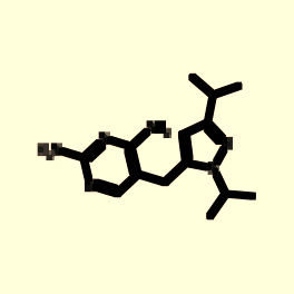 CC(C)c1cc(Cc2cnc(N)nc2N)n(C(C)C)n1